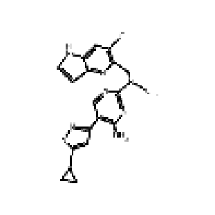 CN(Cc1nc2cc[nH]c2cc1F)c1ncc(-c2cc(C3CC3)[nH]n2)c(N)n1